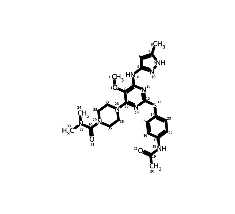 COc1c(Nc2cc(C)[nH]n2)nc(Sc2ccc(NC(C)=O)cc2)nc1N1CCN(C(=O)N(C)C)CC1